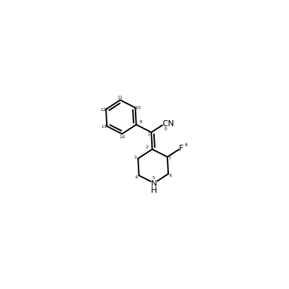 N#CC(=C1CCNCC1F)c1ccccc1